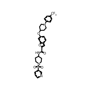 O=C(NC1CCN(S(=O)(=O)c2cccnc2)CC1)c1cc2ccc(OC3CCN(c4ccc(C(F)(F)F)cc4)CC3)cc2o1